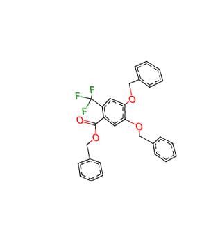 O=C(OCc1ccccc1)c1cc(OCc2ccccc2)c(OCc2ccccc2)cc1C(F)(F)F